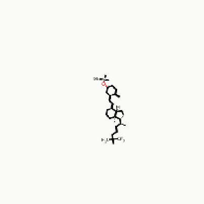 C=C1CC[C@H](O[Si](C)(C)C(C)(C)C)C/C1=C/C=C1\CCC[C@]2(C)[C@@H]([C@@H](C)CCCC(C)(C(F)(F)F)C(F)(F)F)CC[C@@H]12